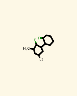 CCC1CC(C)C(F)C(C2CCCCC2F)C1